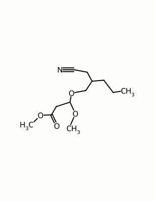 CCCC(CC#N)COC(CC(=O)OC)OC